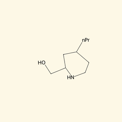 CCCC1CCNC(CO)C1